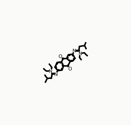 CCN(CC)C(CC(C)C)=Nc1ccc2c(c1)C(=O)c1ccc(N=C(CC(C)C)N(CC)CC)cc1C2=O